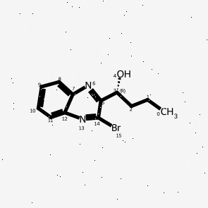 CCC[C@@H](O)c1nc2ccccc2nc1Br